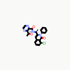 CC(=O)c1nccnc1C(=O)N[C@@H](C)c1cc2cccc(Cl)c2c(=O)n1-c1ccccc1